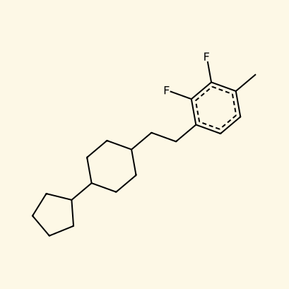 Cc1ccc(CCC2CCC(C3CCCC3)CC2)c(F)c1F